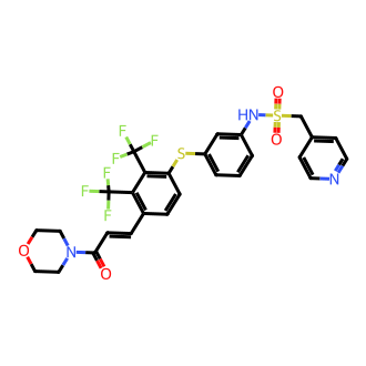 O=C(/C=C/c1ccc(Sc2cccc(NS(=O)(=O)Cc3ccncc3)c2)c(C(F)(F)F)c1C(F)(F)F)N1CCOCC1